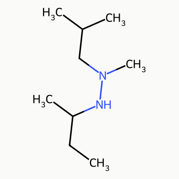 CCC(C)NN(C)CC(C)C